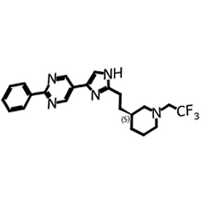 FC(F)(F)CN1CCC[C@@H](CCc2nc(-c3cnc(-c4ccccc4)nc3)c[nH]2)C1